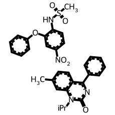 CS(=O)(=O)Nc1ccc([N+](=O)[O-])cc1Oc1ccccc1.Cc1ccc2c(-c3ccccc3)nc(=O)n(C(C)C)c2c1